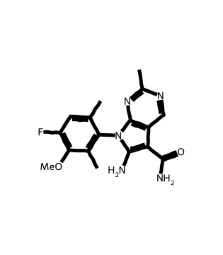 COc1c(F)cc(C)c(-n2c(N)c(C(N)=O)c3cnc(C)nc32)c1C